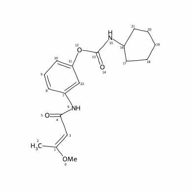 COC(C)=CC(=O)Nc1cccc(OC(=O)NC2CCCCC2)c1